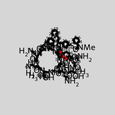 CNC(=O)c1ccccc1Sc1ccc2c(/C=C/c3ccccn3)nn(C(=O)C3CCC(C(=O)N[C@H](CCN)C(=O)N[C@H](C(=O)N[C@H](CCN)C(=O)NC4CCNC(=O)[C@H]([C@@H](C)O)NC(=O)C(CCN)NC(=O)[C@H](CCN)NC(=O)C(CC(C)C)NC(=O)[C@H](Cc5ccccc5)NC(=O)C(CCN)NC4=O)[C@H](C)O)CC3)c2c1